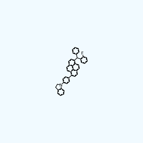 Fc1ccccc1C(c1ccccc1)c1ccc2ccc3c(-c4ccc(N5CCc6ccccc65)cc4)ccc4ccc1c2c43